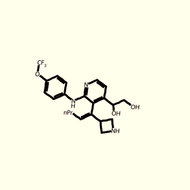 CCC/C=C(\c1c(C(O)CO)ccnc1Nc1ccc(OC(F)(F)F)cc1)C1CNC1